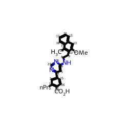 CCCc1cc(-c2cc(NCCc3c(OC)cc4ccccc4c3C)ncn2)ccc1C(=O)O